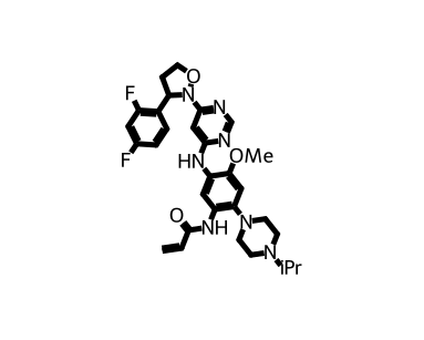 C=CC(=O)Nc1cc(Nc2cc(N3OCCC3c3ccc(F)cc3F)ncn2)c(OC)cc1N1CCN(C(C)C)CC1